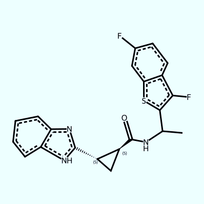 CC(NC(=O)[C@H]1C[C@@H]1c1nc2ccccc2[nH]1)c1sc2cc(F)ccc2c1F